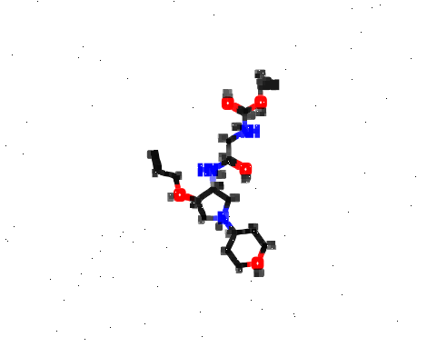 C=CCO[C@@H]1CN(C2CCOCC2)C[C@H]1NC(=O)CNC(=O)OC(C)(C)C